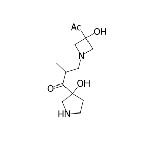 CC(=O)C1(O)CN(CC(C)C(=O)C2(O)CCNC2)C1